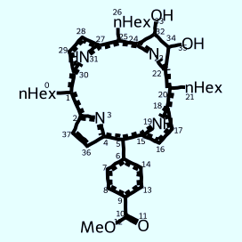 CCCCCCc1c2nc(c(-c3ccc(C(=O)OC)cc3)c3ccc([nH]3)c(CCCCCC)c3nc(c(CCCCCC)c4ccc1[nH]4)C(O)C3O)C=C2